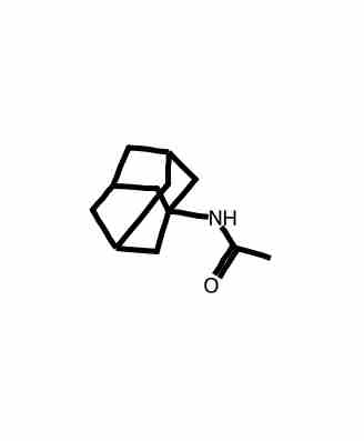 CC(=O)NC12CC3CC(CC(C3)C1)C2